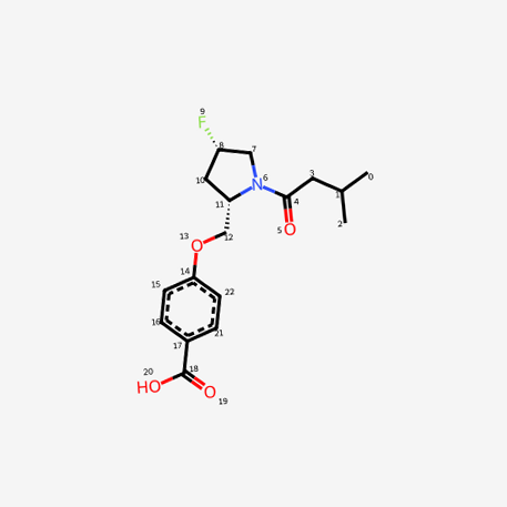 CC(C)CC(=O)N1C[C@@H](F)C[C@H]1COc1ccc(C(=O)O)cc1